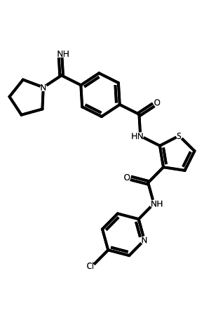 N=C(c1ccc(C(=O)Nc2sccc2C(=O)Nc2ccc(Cl)cn2)cc1)N1CCCC1